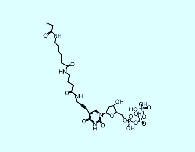 O=C(CI)NCCCCCC(=O)NCCCC(=O)NCC#Cc1cn([C@H]2CC(O)[C@@H](COP(=O)(O)OP(=O)(O)OP(=O)(O)O)O2)c(=O)[nH]c1=O